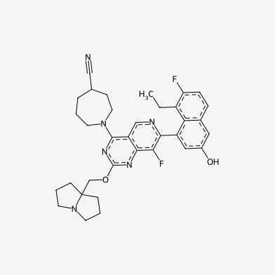 CCc1c(F)ccc2cc(O)cc(-c3ncc4c(N5CCCC(C#N)CC5)nc(OCC56CCCN5CCC6)nc4c3F)c12